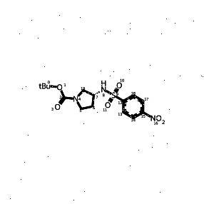 CC(C)(C)OC(=O)N1CC[C@@H](NS(=O)(=O)c2ccc([N+](=O)[O-])cc2)C1